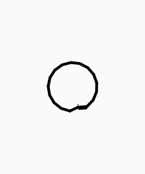 [C]1=C/CCCCCCCCCCCCCCC/1